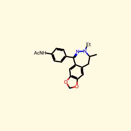 CCN1N=C(c2ccc(NC(C)=O)cc2)c2cc3c(cc2CC1C)OCO3